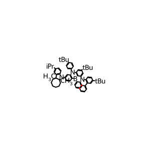 CC(C)c1ccc2c(c1)C1(C)CCCCCCC1(C)N2c1ccc2c(c1)N(c1ccc(C(C)(C)C)cc1)c1cc(C(C)(C)C)cc3c1B2c1ccccc1N3c1ccc(C(C)(C)C)cc1-c1ccccc1